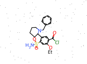 CCOc1cc(S(N)(=O)=O)c(C2CCCCN2Cc2ccccc2)cc1C(=O)Cl